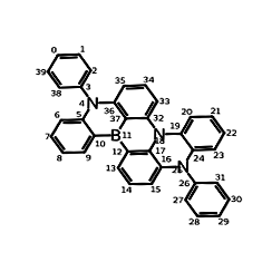 c1ccc(N2c3ccccc3B3c4cccc5c4N(c4ccccc4N5c4ccccc4)c4cccc2c43)cc1